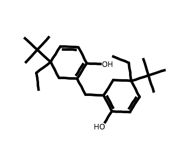 CCC1(C(C)(C)C)C=CC(O)=C(CC2=C(O)C=CC(CC)(C(C)(C)C)C2)C1